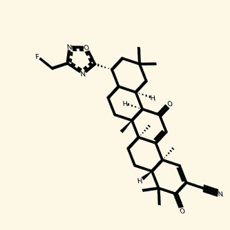 CC1(C)C[C@@H]2C(CC[C@]3(C)[C@@H]2C(=O)C=C2[C@@]4(C)C=C(C#N)C(=O)C(C)(C)[C@@H]4CC[C@]23C)[C@H](c2nc(CF)no2)C1